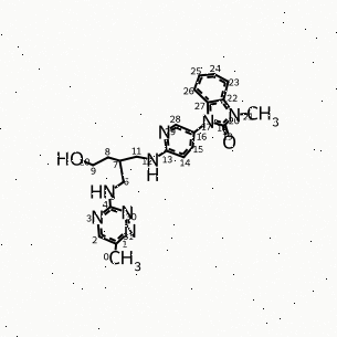 Cc1cnc(NCC(CCO)CNc2ccc(-n3c(=O)n(C)c4ccccc43)cn2)nn1